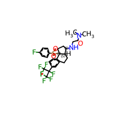 CN(C)C(=O)CN[C@@H]1CC[C@@]2(S(=O)(=O)c3ccc(F)cc3)c3ccc(C(F)(C(F)(F)F)C(F)(F)F)cc3CC[C@@H]12